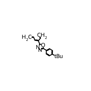 C=C/C=C(\C=C)c1nnc(-c2ccc(C(C)(C)C)cc2)o1